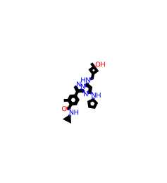 Cc1cc(-c2cnn3c(NCC4CC(C)(O)C4)cc(NC4CCCC4)nc23)ccc1C(=O)NC1CC1